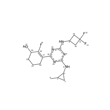 CC1CC1Nc1nc(NC2CC(F)(F)C2)nc(C2=C(F)C(O)CCC2)n1